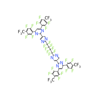 Fc1c(F)c(C(F)(F)F)c(F)c(F)c1-c1cc(-c2c(F)c(F)c(C(F)(F)F)c(F)c2F)nc(-c2cnc(C(F)(F)C(F)(F)C(F)(F)C(F)(F)c3ncc(-c4nc(-c5c(F)c(F)c(C(F)(F)F)c(F)c5F)cc(-c5c(F)c(F)c(C(F)(F)F)c(F)c5F)n4)cn3)nc2)n1